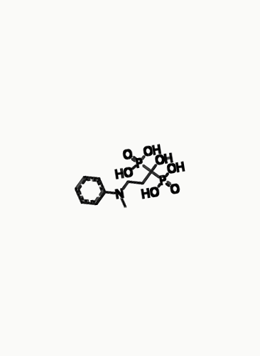 CN(CCC(O)(P(=O)(O)O)P(=O)(O)O)c1ccccc1